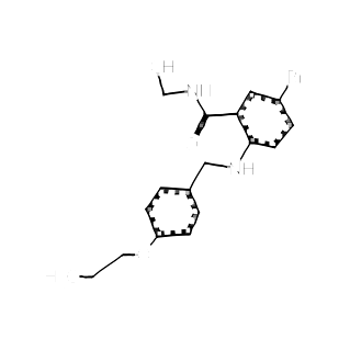 CCCOc1ccc(CNc2ccc(Br)cc2C(=O)NCC)cc1